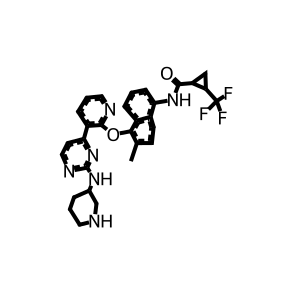 Cc1ccc2c(NC(=O)C3CC3C(F)(F)F)cccc2c1Oc1ncccc1-c1ccnc(NC2CCCNC2)n1